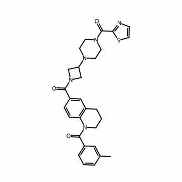 Cc1cccc(C(=O)N2CCCc3cc(C(=O)N4CC(N5CCN(C(=O)c6nccs6)CC5)C4)ccc32)c1